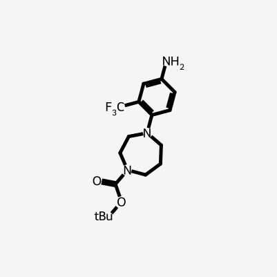 CC(C)(C)OC(=O)N1CCCN(c2ccc(N)cc2C(F)(F)F)CC1